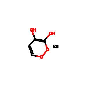 OC1=C(O)OOC=C1.[KH]